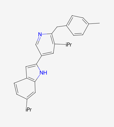 Cc1ccc(Cc2ncc(-c3cc4ccc(C(C)C)cc4[nH]3)cc2C(C)C)cc1